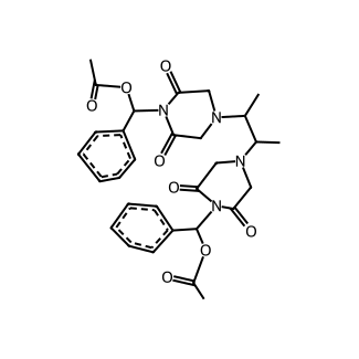 CC(=O)OC(c1ccccc1)N1C(=O)CN(C(C)C(C)N2CC(=O)N(C(OC(C)=O)c3ccccc3)C(=O)C2)CC1=O